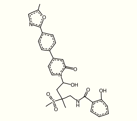 Cc1cnc(-c2ccc(-c3ccn(C(O)CC(C)(CNC(=O)c4ccccc4O)S(C)(=O)=O)c(=O)c3)cc2)o1